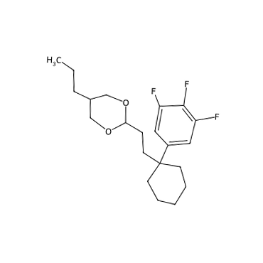 CCCC1COC(CCC2(c3cc(F)c(F)c(F)c3)CCCCC2)OC1